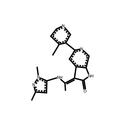 CC(Nc1cc(C)nn1C)=C1C(=O)Nc2cnc(-c3cnccc3C)cc21